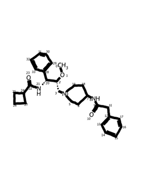 CO[C@H](CN1CCC(NC(=O)Cc2ccccc2)CC1)[C@H](NC(=O)C1CCC1)c1ccccc1